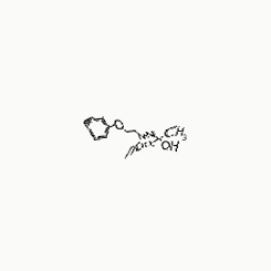 CCCCCCCCC(C)(O)/N=N/CCOc1ccccc1